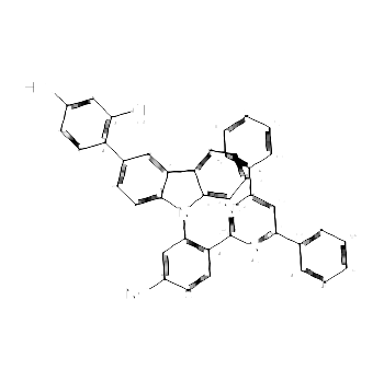 Cc1ccc(-c2ccc3c(c2)c2ccccc2n3-c2cc(C#N)ccc2-c2nc(-c3ccccc3)cc(-c3ccccc3)n2)c(C)c1